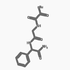 CCCCC(=O)C(=O)NCC(=O)NC(C(N)=O)c1ccccc1